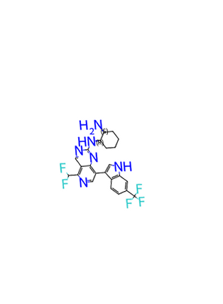 N[C@H]1CCCC[C@H]1Nc1ncc2c(C(F)F)ncc(-c3c[nH]c4cc(C(F)(F)F)ccc34)c2n1